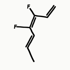 C=C/C(F)=C(F)\C=C\C